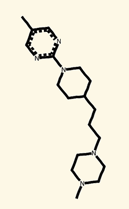 Cc1cnc(N2CCC(CCCN3CCN(C)CC3)CC2)nc1